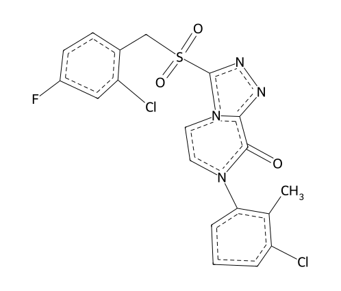 Cc1c(Cl)cccc1-n1ccn2c(S(=O)(=O)Cc3ccc(F)cc3Cl)nnc2c1=O